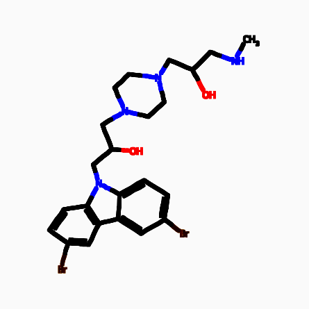 CNCC(O)CN1CCN(CC(O)Cn2c3ccc(Br)cc3c3cc(Br)ccc32)CC1